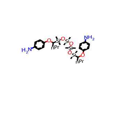 CCCC(Oc1ccc(N)cc1)[Si](C)(C)O[Si](C)(C)O[Si](C)(C)O[Si](C)(C)C(CCC)Oc1ccc(N)cc1